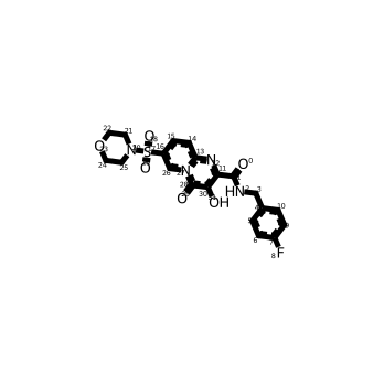 O=C(NCc1ccc(F)cc1)c1nc2ccc(S(=O)(=O)N3CCOCC3)cn2c(=O)c1O